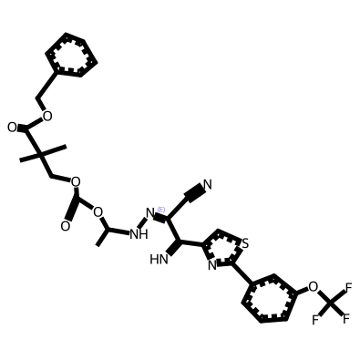 CC(N/N=C(/C#N)C(=N)c1csc(-c2cccc(OC(F)(F)F)c2)n1)OC(=O)OCC(C)(C)C(=O)OCc1ccccc1